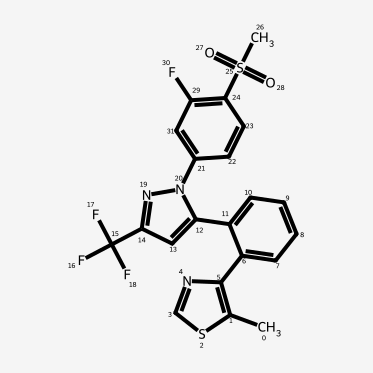 Cc1scnc1-c1ccccc1-c1cc(C(F)(F)F)nn1-c1ccc(S(C)(=O)=O)c(F)c1